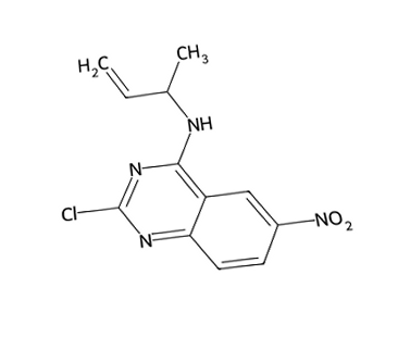 C=CC(C)Nc1nc(Cl)nc2ccc([N+](=O)[O-])cc12